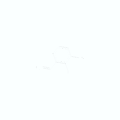 C=[C]c1cccc(C#N)c1F